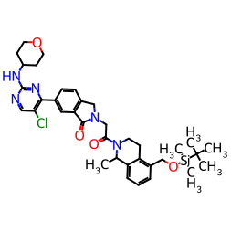 CC1c2cccc(CO[Si](C)(C)C(C)(C)C)c2CCN1C(=O)CN1Cc2ccc(-c3nc(NC4CCOCC4)ncc3Cl)cc2C1=O